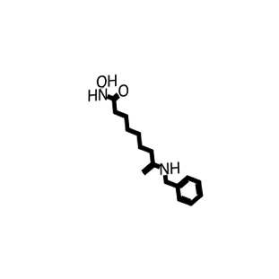 C=C(CCCCCCC(=O)NO)NCc1ccccc1